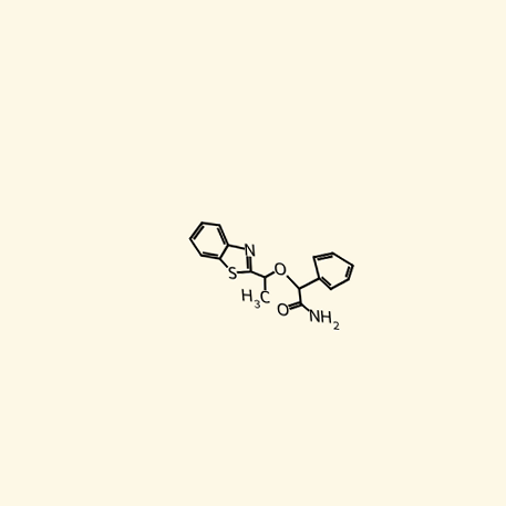 CC(OC(C(N)=O)c1ccccc1)c1nc2ccccc2s1